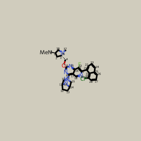 CN[C@@H]1C[C@@H](COc2nc(N3CC4CCC(C3)N4)c3cnc(-c4cccc5cccc(Cl)c45)c(F)c3n2)N(C)C1